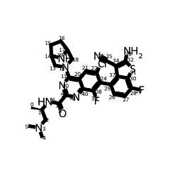 C[C@H](CN(C)C)NC(=O)c1nc(N2CC3CCC(C2)N3)c2cc(Cl)c(-c3ccc(F)c4sc(N)c(C#N)c34)c(F)c2n1